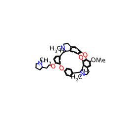 COc1cc2c3c4c1Oc1cc5c(cc1O4)[C@H](Cc1ccc(OCCC4CCCN4C)c(c1)Oc1ccc(cc1)C[C@@H]3N(C)CC2)N(C)CC5